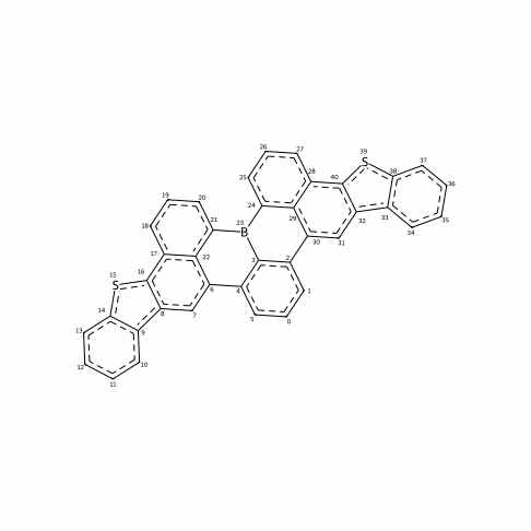 c1cc2c3c(c1)-c1cc4c5ccccc5sc4c4cccc(c14)B3c1cccc3c1c-2cc1c2ccccc2sc31